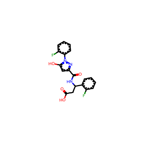 O=C(O)CC(NC(=O)c1cc(O)n(-c2ccccc2F)n1)c1ccccc1F